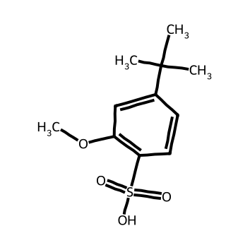 COc1cc(C(C)(C)C)ccc1S(=O)(=O)O